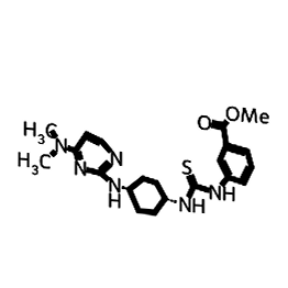 COC(=O)c1cccc(NC(=S)N[C@H]2CC[C@@H](Nc3nccc(N(C)C)n3)CC2)c1